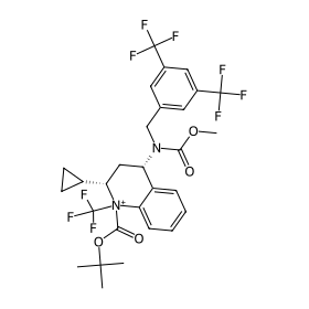 COC(=O)N(Cc1cc(C(F)(F)F)cc(C(F)(F)F)c1)[C@H]1C[C@@H](C2CC2)[N+](C(=O)OC(C)(C)C)(C(F)(F)F)c2ccccc21